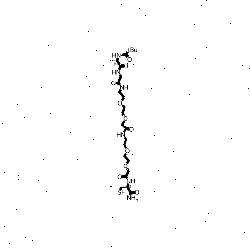 C[C@H](NC(=O)C(C)(C)C)C(=O)NCC(=O)NCCOCCOCC(=O)NCCOCCOCC(=O)N[C@H](CS)C(N)=O